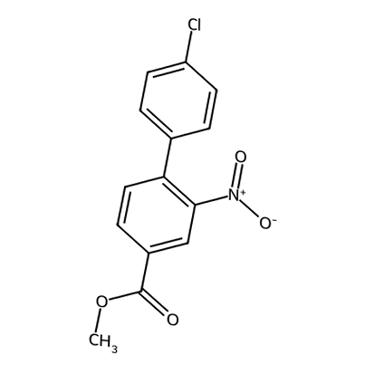 COC(=O)c1ccc(-c2ccc(Cl)cc2)c([N+](=O)[O-])c1